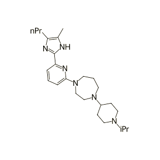 CCCc1nc(-c2cccc(N3CCCN(C4CCN(C(C)C)CC4)CC3)n2)[nH]c1C